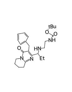 CCC(NCCNC(=O)OC(C)(C)C)c1nc2n(c(=O)c1Cc1ccccc1)CCCC2